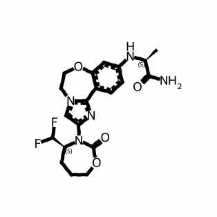 C[C@H](Nc1ccc2c(c1)OCCn1cc(N3C(=O)OCCC[C@H]3C(F)F)nc1-2)C(N)=O